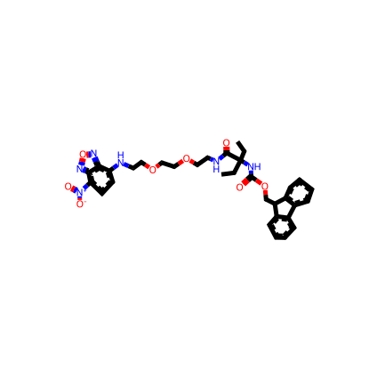 CCC(CC)(NC(=O)OCC1c2ccccc2-c2ccccc21)C(=O)NCCOCCOCCNc1ccc([N+](=O)[O-])c2nonc12